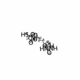 O=C1N[C@H]2CSC(CCCCC(=O)ON3C(=O)CC(S)C3=O)[C@H]2N1